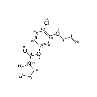 C=CCOc1cc(OC(=O)N2CCCC2)ccc1Cl